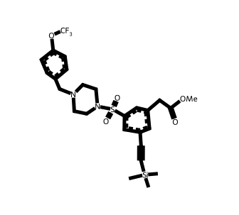 COC(=O)Cc1cc(C#C[Si](C)(C)C)cc(S(=O)(=O)N2CCN(Cc3ccc(OC(F)(F)F)cc3)CC2)c1